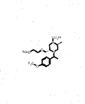 COCCOC[C@@H]1CN(C(=O)O)[C@@H](C)CN1C(C)c1ccc(OC(F)(F)F)cc1